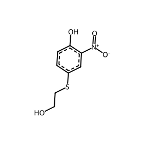 O=[N+]([O-])c1cc(SCCO)ccc1O